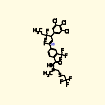 CCC(F)(F)C(/C=C(\F)c1ccc(C(=O)N[C@H](C)CSCC(F)(F)F)c(C(F)(F)F)c1)c1cc(Cl)c(Cl)c(Cl)c1